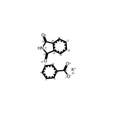 O=C([O-])c1ccccc1.O=C1NC(=O)c2ccccc21.[K+]